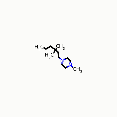 CCCC(C)(C)CCN1CCN(C)CC1